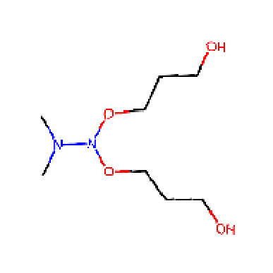 CN(C)N(OCCCO)OCCCO